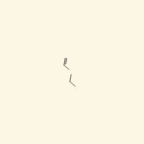 S=COCCl